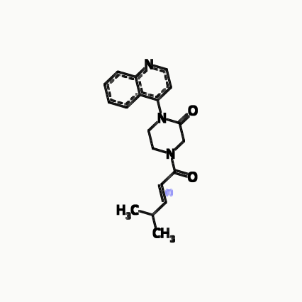 CC(C)/C=C/C(=O)N1CCN(c2ccnc3ccccc23)C(=O)C1